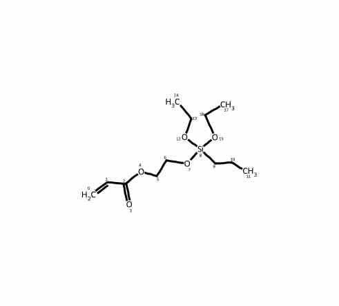 C=CC(=O)OCCO[Si](CCC)(OCC)OCC